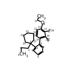 CCCC1(c2ccccc2-c2ccc(OCC)c(F)c2F)CCCCC1